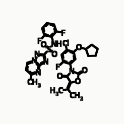 CC(C)=C1OC(=O)N(c2cc(OC3CCCC3)c(Cl)cc2F)C1=O.Cc1ccn2nc(S(=O)(=O)Nc3c(F)cccc3F)nc2n1